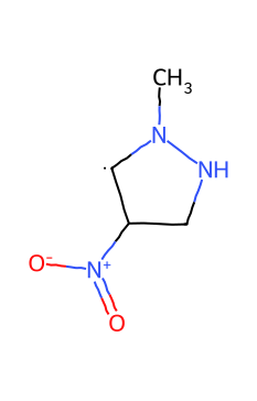 CN1[CH]C([N+](=O)[O-])CN1